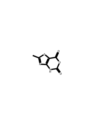 Cc1nc2[nH]c(=O)oc(=O)c2s1